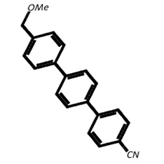 COCc1ccc(-c2ccc(-c3ccc(C#N)cc3)cc2)cc1